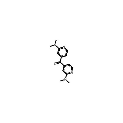 CN(C)c1cc(C(=O)c2ccnc(N(C)C)c2)ccn1